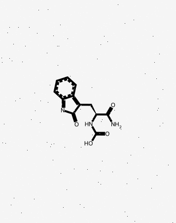 NC(=O)[C@H](CC1=c2ccccc2=NC1=O)NC(=O)O